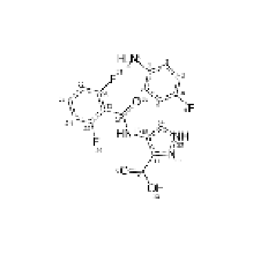 Nc1ccc(F)cc1.O=C(O)c1n[nH]cc1NC(=O)c1c(F)cccc1F